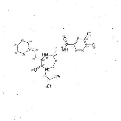 CC[C@H](CN1CC[C@@H](CNC(=O)c2ccc(Cl)c(Cl)c2)N[C@@H](CCN2CCCCC2)C1=O)C(C)C